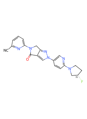 N#Cc1cccc(N2Cc3nn(-c4ccc(N5CC[C@H](F)C5)nc4)cc3C2=O)n1